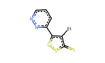 CCc1c(-c2cccnn2)ssc1=S